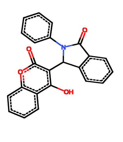 O=C1c2ccccc2C(c2c(O)c3ccccc3oc2=O)N1c1ccccc1